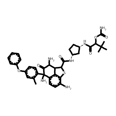 Cc1cc(Oc2ccccc2)ccc1C1(N)C(=O)C(N)C2c3c1ccc(N)c3SC2C(=O)N[C@@H]1CC[C@H](NC(=O)C(OC(N)=O)C(C)(C)C)C1